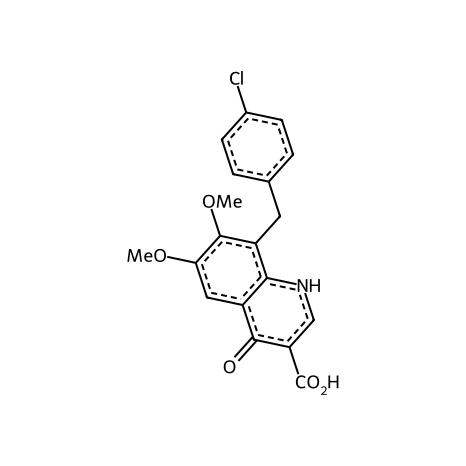 COc1cc2c(=O)c(C(=O)O)c[nH]c2c(Cc2ccc(Cl)cc2)c1OC